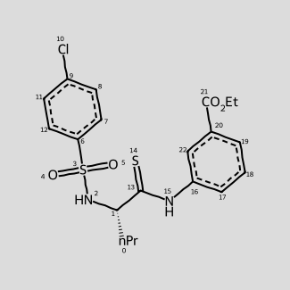 CCC[C@H](NS(=O)(=O)c1ccc(Cl)cc1)C(=S)Nc1cccc(C(=O)OCC)c1